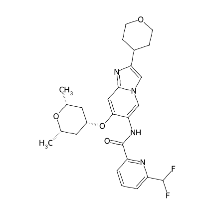 C[C@@H]1C[C@H](Oc2cc3nc(C4CCOCC4)cn3cc2NC(=O)c2cccc(C(F)F)n2)C[C@H](C)O1